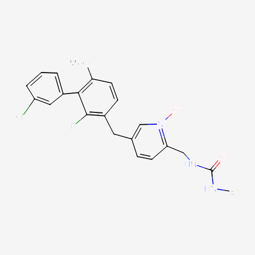 CCNC(=O)NCc1ccc(Cc2ccc(OC)c(-c3cccc(Cl)c3)c2F)c[n+]1[O-]